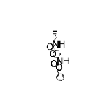 O=C(N[C@@H]1CC[C@@H](C(=O)NCCF)OC1)OCc1ccccc1